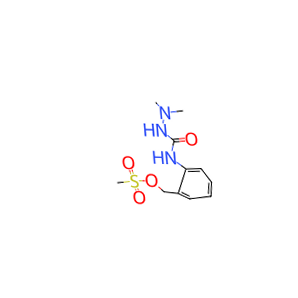 CN(C)NC(=O)Nc1ccccc1COS(C)(=O)=O